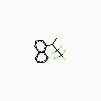 [CH2]C(c1cccc2ccccc12)C(F)(F)C(F)(F)F